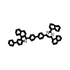 c1ccc(-c2ccc3nc(-c4ccc(-c5ccc(-c6cc(-c7cccc8ccccc78)nc(-c7cccc8ccccc78)n6)cc5)cc4)c4ccc5ccccc5c4c3c2)cc1